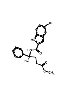 COC(=O)CCC(O)(NC(=O)c1cc2cc(Br)ccc2[nH]1)c1ccccc1